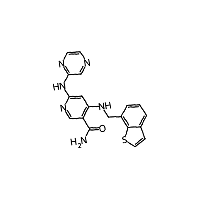 NC(=O)c1cnc(Nc2cnccn2)cc1NCc1cccc2ccsc12